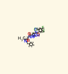 Cc1nc(Cc2ccccc2)oc1CNC(=O)c1cc(NC(=O)c2cc(F)c(F)cc2Cl)[nH]n1